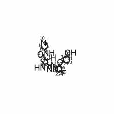 CC1=C(C(=O)NC2CCN(C)CC2)SC(=N)/C1=C(\N)Nc1ccc(F)cc1OC1CCC[C@H](O)C1